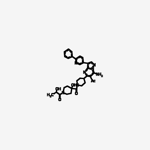 CC(=O)c1c(C2CCN(C(=O)C3(O)CCN(C(=O)[C@@H](C)O)CC3)CC2)nc2c(-c3ccc(-c4ccccc4)nc3)cnn2c1N